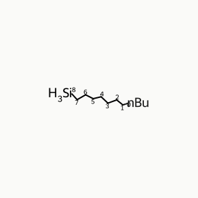 CCCCCCCCCCC[SiH3]